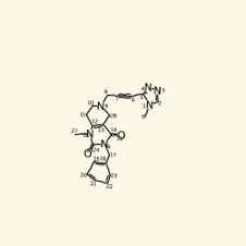 Cn1cnnc1C#CCN1CCc2c(c(=O)n(Cc3ccccc3)c(=O)n2C)C1